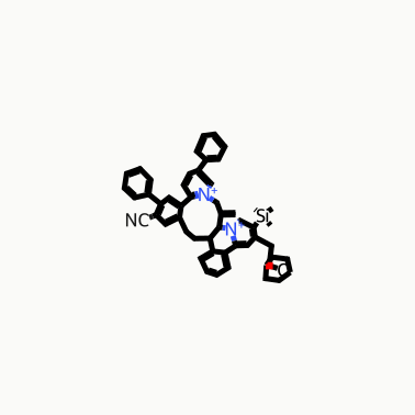 C=C1C[n+]2cc(-c3ccccc3)ccc2-c2cc(-c3ccccc3)c(C#N)cc2CCC2c3ccccc3-c3cc(CC4CC5CCC4CC5)c([Si](C)(C)C)c[n+]3C12